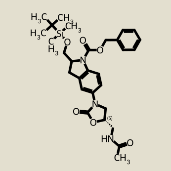 CC(=O)NC[C@H]1CN(c2ccc3c(c2)CC(CO[Si](C)(C)C(C)(C)C)N3C(=O)OCc2ccccc2)C(=O)O1